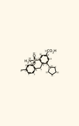 Cc1ccc(Cc2c(N3CCCC3)cc(C(=O)O)cc2S(N)(=O)=O)cc1